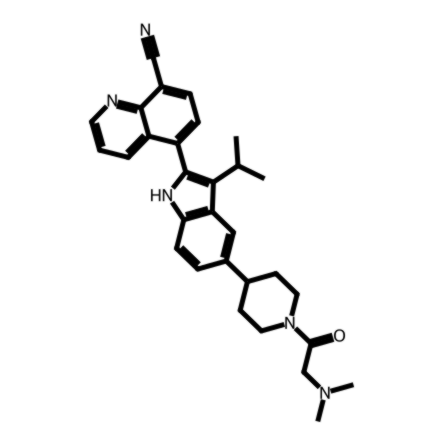 CC(C)c1c(-c2ccc(C#N)c3ncccc23)[nH]c2ccc(C3CCN(C(=O)CN(C)C)CC3)cc12